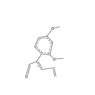 C=C/C=C(/C=O)c1ccc(OC)cc1OC